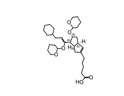 O=C(O)CCCCC1=C[C@@H]2C[C@@H](OC3CCCCO3)[C@H](C(=CCC3CCCCC3)OC3CCCCO3)[C@@H]2C1